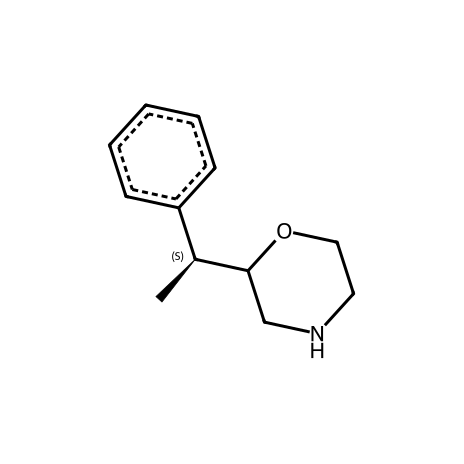 C[C@@H](c1ccccc1)C1CNCCO1